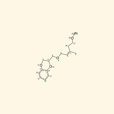 CC(=CCOCC1COc2ccccc2O1)CCOC(C)C